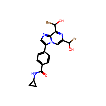 O=C(NC1CC1)c1ccc(-c2cnc3c(C(O)Br)nc(C(O)Br)cn23)cc1